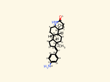 C[C@]12CCC(=O)NC1CC[C@@H]1[C@H]2CC[C@]2(C)C(=Cc3ccc(N)cc3)CC[C@@H]12